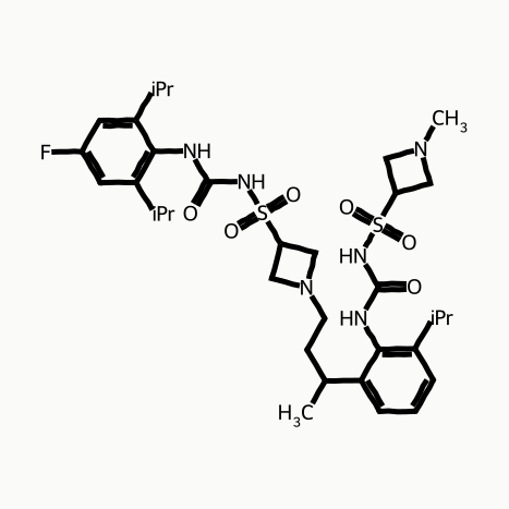 CC(C)c1cc(F)cc(C(C)C)c1NC(=O)NS(=O)(=O)C1CN(CCC(C)c2cccc(C(C)C)c2NC(=O)NS(=O)(=O)C2CN(C)C2)C1